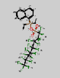 CCS(CC)(OS(=O)(=O)C(F)(F)C(F)(F)C(F)(F)C(F)(F)C(F)(F)C(F)(F)C(F)(F)C(F)(F)F)c1cccc2ccccc12